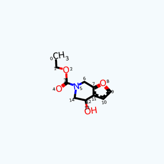 CCOC(=O)N1Cc2occc2C(O)C1